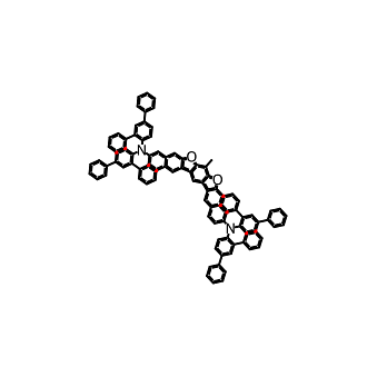 Cc1c2oc3cc4cc(N(c5ccc(-c6ccccc6)cc5-c5ccccc5)c5ccc(-c6ccccc6)cc5-c5ccccc5)ccc4cc3c2cc2c1oc1cc3cc(N(c4ccc(-c5ccccc5)cc4-c4ccccc4)c4ccc(-c5ccccc5)cc4-c4ccccc4)ccc3cc12